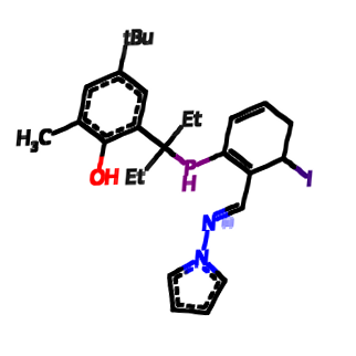 CCC(CC)(PC1=C(/C=N/n2cccc2)C(I)CC=C1)c1cc(C(C)(C)C)cc(C)c1O